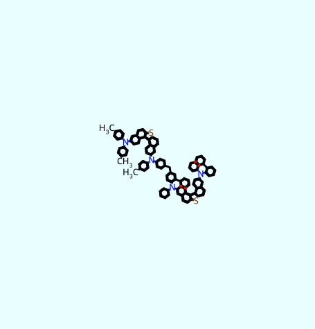 Cc1ccc(N(c2ccc(C)cc2)c2ccc3c(ccc4sc5ccc6cc(N(c7ccc(C)cc7)c7ccc(Cc8ccc(N(c9ccccc9)c9ccc%10c(ccc%11sc%12ccc%13cc(N(c%14ccccc%14)c%14ccccc%14-c%14ccccc%14)ccc%13c%12c%11%10)c9)c(-c9ccccc9)c8)cc7)ccc6c5c43)c2)cc1